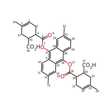 CC1=CCC(C(=O)Oc2c3ccc(C)cc3c(OC(=O)C3CC=C(C)CC3C(=O)O)c3ccc(C)cc23)C(C(=O)O)C1